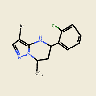 CC(=O)c1cnn2c1NC(c1ccccc1Cl)CC2C(F)(F)F